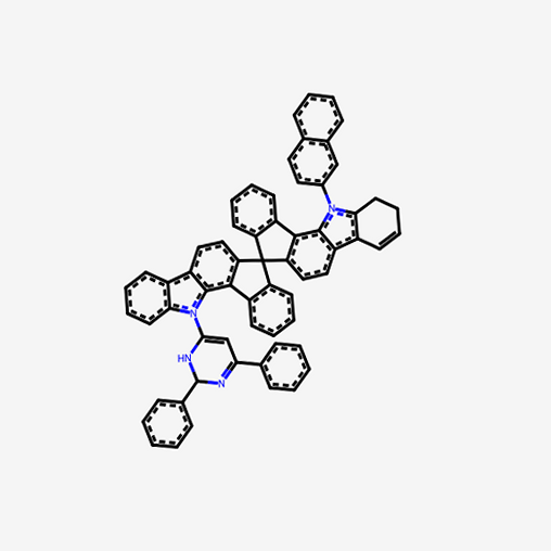 C1=Cc2c(n(-c3ccc4ccccc4c3)c3c4c(ccc23)C2(c3ccccc3-4)c3ccccc3-c3c2ccc2c4ccccc4n(C4=CC(c5ccccc5)=NC(c5ccccc5)N4)c32)CC1